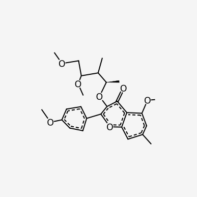 COCC(OC)C(C)[C@@H](C)Oc1c(-c2ccc(OC)cc2)oc2cc(C)cc(OC)c2c1=O